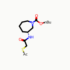 CCCCOC(=O)N1CCCC[C@@H](NC(=O)CSC(C)=O)C1